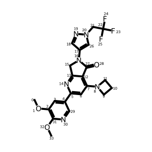 COc1cc(-c2cc(N3CCC3)c3c(n2)CN(c2cnn(CC(F)(F)F)c2)C3=O)cnc1OC